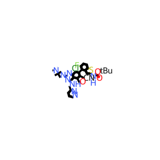 CN(C)C1(C)CN(c2nc(NCc3cccnn3)c3c4c(c(-c5c(F)ccc6sc(NC(=O)OC(C)(C)C)c(C#N)c56)c(Cl)c3n2)COC4)C1